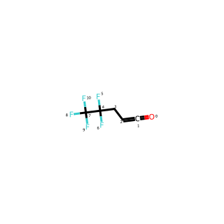 O=C=CCC(F)(F)C(F)(F)F